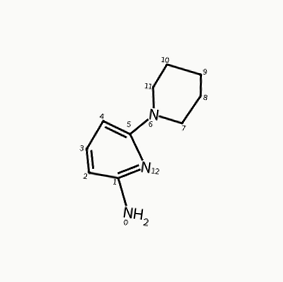 Nc1cccc(N2CCCCC2)n1